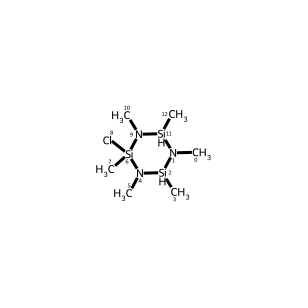 CN1[SiH](C)N(C)[Si](C)(Cl)N(C)[SiH]1C